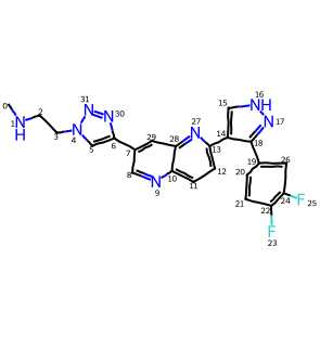 CNCCn1cc(-c2cnc3ccc(-c4c[nH]nc4-c4ccc(F)c(F)c4)nc3c2)nn1